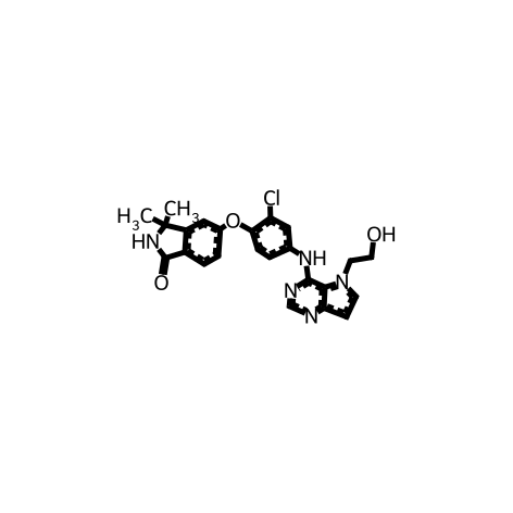 CC1(C)NC(=O)c2ccc(Oc3ccc(Nc4ncnc5ccn(CCO)c45)cc3Cl)cc21